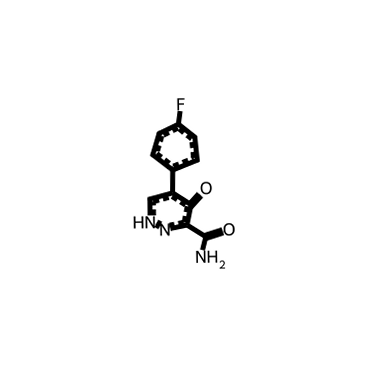 NC(=O)c1n[nH]cc(-c2ccc(F)cc2)c1=O